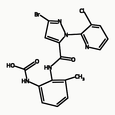 Cc1cccc(NC(=O)O)c1NC(=O)c1cc(Br)nn1-c1ncccc1Cl